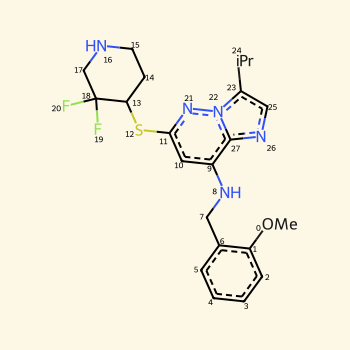 COc1ccccc1CNc1cc(SC2CCNCC2(F)F)nn2c(C(C)C)cnc12